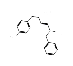 COc1ccc(C[C@@H](/C=C/[C@H](Cc2ccccc2)C(=O)O)C(=O)O)cc1